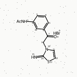 Br.CC(=O)Nc1cccc(C(=O)Cn2ccsc2=N)c1